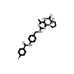 Cc1nc(NCc2ccc(NC(=O)c3ccc(F)cc3)cc2)nc2c1NC(=O)[C@@H]1CCCN21